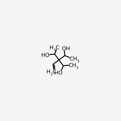 C=CC(C(C)O)(C(C)O)C(C)O